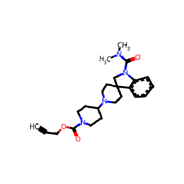 C#CCOC(=O)N1CCC(N2CCC3(CC2)CN(C(=O)N(C)C)c2ccccc23)CC1